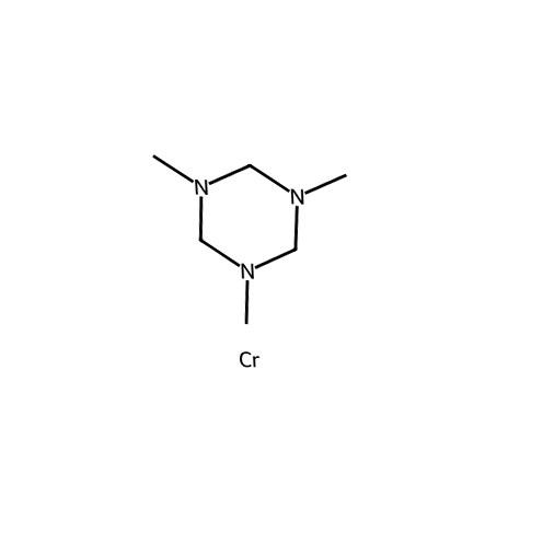 CN1CN(C)CN(C)C1.[Cr]